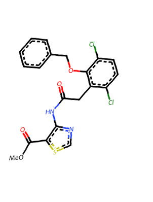 COC(=O)c1scnc1NC(=O)Cc1c(Cl)ccc(Cl)c1OCc1ccccc1